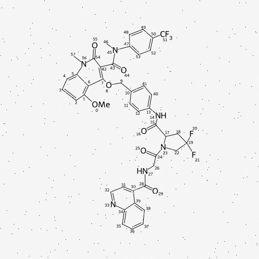 COc1cccc2c1c(OCc1ccc(NC(=O)C3CC(F)(F)CN3C(=O)CNC(=O)c3ccnc4ccccc34)cc1)c(C(=O)N(C)c1ccc(C(F)(F)F)cc1)c(=O)n2C